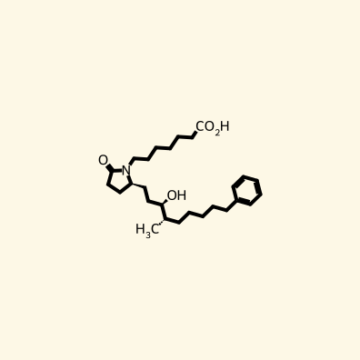 C[C@@H](CCCCCc1ccccc1)[C@H](O)CC[C@H]1CCC(=O)N1CCCCCCC(=O)O